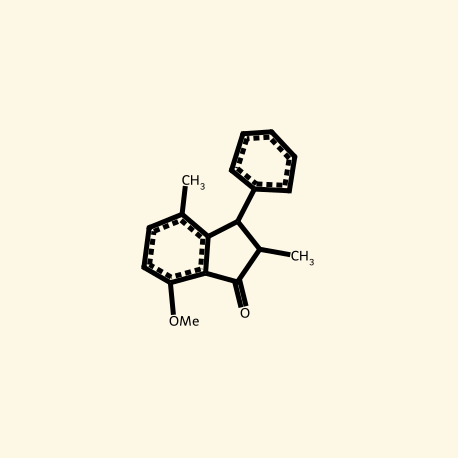 COc1ccc(C)c2c1C(=O)C(C)C2c1ccccc1